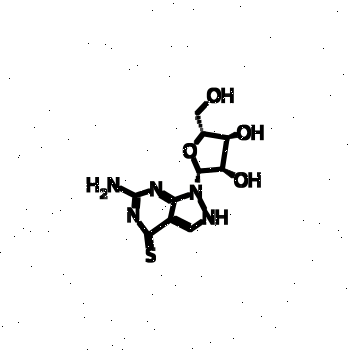 Nc1nc2n([C@@H]3O[C@H](CO)[C@@H](O)[C@H]3O)[nH]cc-2c(=S)n1